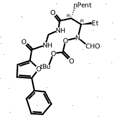 CCCCC[C@@H](C(=O)NCNC(=O)c1ccc(-c2ccccc2)o1)[C@@H](CC)N(C=O)OC(=O)OC(C)(C)C